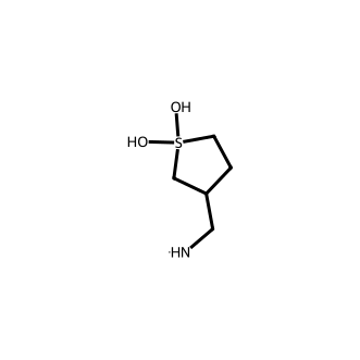 [NH]CC1CCS(O)(O)C1